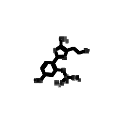 Cc1sc(-c2ccc(C(C)(C)C)cc2O[SiH](C)C)nc1CCBr